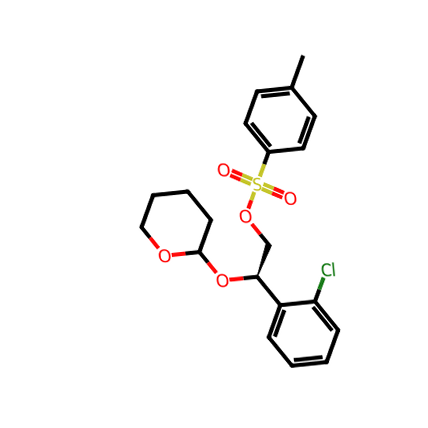 Cc1ccc(S(=O)(=O)OC[C@H](OC2CCCCO2)c2ccccc2Cl)cc1